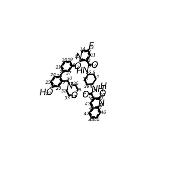 O=C(N[C@H]1CC[C@@H](NC(=O)c2cc(F)cnc2Oc2cccc(-c3ccc(O)cc3CN3CCOCC3)c2)CC1)c1cc2ccccc2nc1O